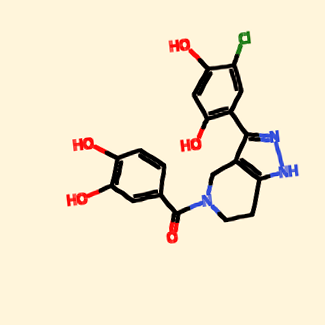 O=C(c1ccc(O)c(O)c1)N1CCc2[nH]nc(-c3cc(Cl)c(O)cc3O)c2C1